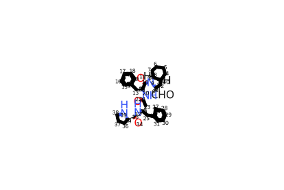 O=C[C@@H]1C[C@@H]2CCCC[C@@H]2N1C(=O)[C@H](Cc1ccccc1)NC(=O)C[C@H](Cc1ccccc1)NC(=O)[C@@H]1CCCN1